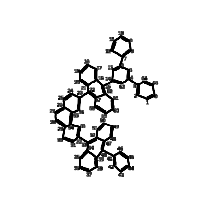 c1ccc(-c2cc(-c3ccccc3)cc(-c3c4ccccc4c(-c4ccc5ccc6ccc(-c7c8ccccc8c(-c8ccccc8)c8ccccc78)cc6c5c4)c4ccccc34)c2)cc1